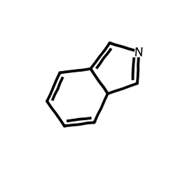 C1=CC2=CN=CC2C=C1